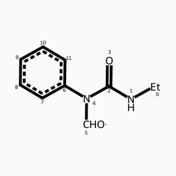 CCNC(=O)N([C]=O)c1ccccc1